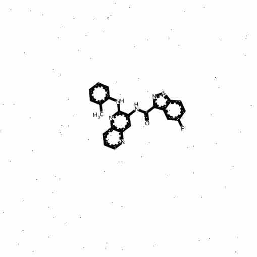 Cc1ccccc1Nc1nc2cccnc2cc1NC(=O)c1nsc2ccc(F)cc12